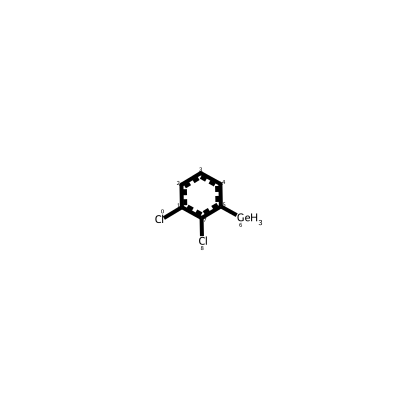 Clc1ccc[c]([GeH3])c1Cl